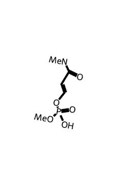 CNC(=O)C=COP(=O)(O)OC